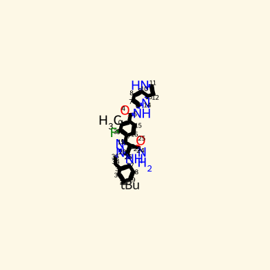 Cc1c(C(=O)Nc2ccc3[nH]ccc3n2)ccc(-c2nn3c(c2C(N)=O)Nc2ccc(C(C)(C)C)cc2CC3)c1F